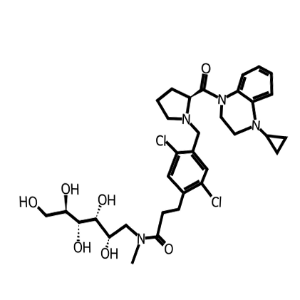 CN(C[C@H](O)[C@@H](O)[C@H](O)[C@H](O)CO)C(=O)CCc1cc(Cl)c(CN2CCC[C@H]2C(=O)N2CCN(C3CC3)c3ccccc32)cc1Cl